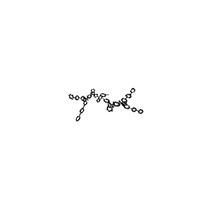 Cc1ccc2c(-c3ccc(N(c4ccccc4)c4ccc(-n5c6ccc(-c7ccc(-c8ccccc8)cc7)cc6c6cc(-c7ccc(-c8ccccc8)cc7)ccc65)cc4)cc3)c3ccccc3c(-c3ccc(N(c4ccccc4)c4ccc(-n5c6ccc(-c7ccc(-c8ccccc8)cc7)cc6c6cc(-c7ccc(-c8ccccc8)cc7)ccc65)cc4)cc3)c2c1